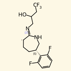 OC(C/N=C1/[CH]CC[C@@H](c2c(F)cccc2F)CN1)CC(F)(F)F